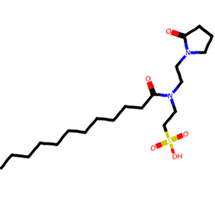 CCCCCCCCCCCC(=O)N(CCN1CCCC1=O)CCS(=O)(=O)O